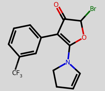 O=C1C(c2cccc(C(F)(F)F)c2)=C(N2C=CCC2)OC1Br